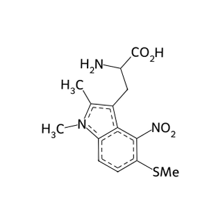 CSc1ccc2c(c(CC(N)C(=O)O)c(C)n2C)c1[N+](=O)[O-]